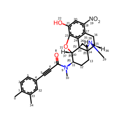 Cc1ccc(C#CC(=O)N(C)[C@@H]2CC[C@H]3[C@H]4Cc5c([N+](=O)[O-])cc(O)c6c5[C@@]3(CCN4C)[C@H]2O6)cc1C